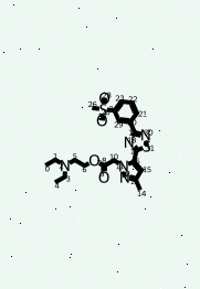 CCN(CC)CCOC(=O)Cn1nc(C)cc1-c1nc(-c2cccc(S(C)(=O)=O)c2)ns1